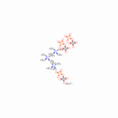 CCCC[N+](CCCC)(CCCC)CCCC.CCCC[N+](CCCC)(CCCC)CCCC.CCCC[N+](CCCC)(CCCC)CCCC.O=P([O-])([O-])[O][W](=[O])(=[O])[O-].O=P([O-])([O-])[O][W](=[O])(=[O])[O-].O=P([O-])([O-])[O][W](=[O])(=[O])[O-].[Mo+6]